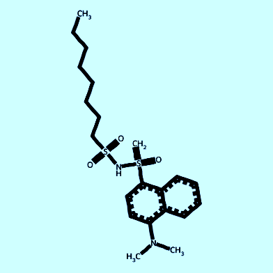 C=S(=O)(NS(=O)(=O)CCCCCCCC)c1ccc(N(C)C)c2ccccc12